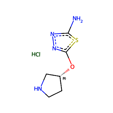 Cl.Nc1nnc(O[C@@H]2CCNC2)s1